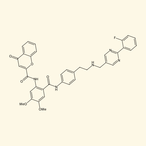 COc1cc(NC(=O)c2cc(=O)c3ccccc3o2)c(C(=O)Nc2ccc(CCNCc3cnc(-c4ccccc4F)nc3)cc2)cc1OC